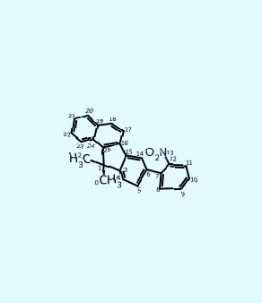 CC1(C)c2ccc(-c3ccccc3[N+](=O)[O-])cc2-c2ccc3ccccc3c21